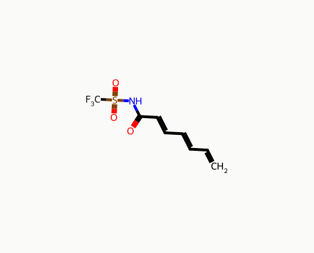 C=C/C=C/C=C/C(=O)NS(=O)(=O)C(F)(F)F